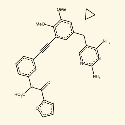 C1CC1.COc1cc(Cc2cnc(N)nc2N)cc(C#Cc2cccc(N(C(=O)O)C(=O)c3ccco3)c2)c1OC